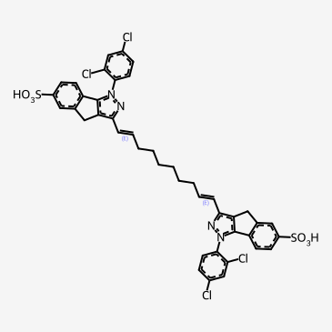 O=S(=O)(O)c1ccc2c(c1)Cc1c(/C=C/CCCCCC/C=C/c3nn(-c4ccc(Cl)cc4Cl)c4c3Cc3cc(S(=O)(=O)O)ccc3-4)nn(-c3ccc(Cl)cc3Cl)c1-2